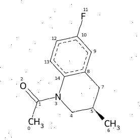 CC(=O)N1C[C@H](C)Cc2cc(F)ccc21